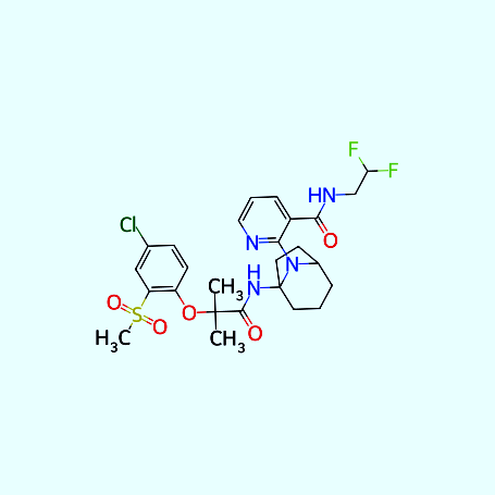 CC(C)(Oc1ccc(Cl)cc1S(C)(=O)=O)C(=O)NC12CCCC(CC1)N2c1ncccc1C(=O)NCC(F)F